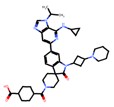 CC(C)n1cnc2cc(-c3ccc4c(c3)N(C3CC(N5CCCCC5)C3)C(=O)C43CCN(C(=O)C4CCC(C(=O)O)CC4)CC3)nc(NC3CC3)c21